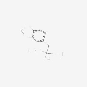 CC(Cc1ccc2c(c1)OCO2)(C(=O)O)C(=O)O